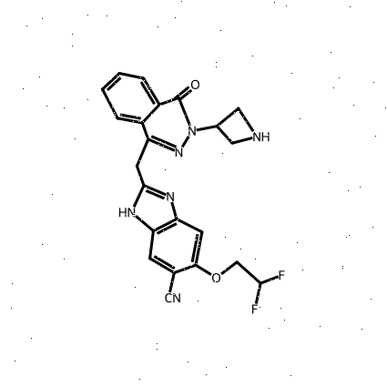 N#Cc1cc2[nH]c(Cc3nn(C4CNC4)c(=O)c4ccccc34)nc2cc1OCC(F)F